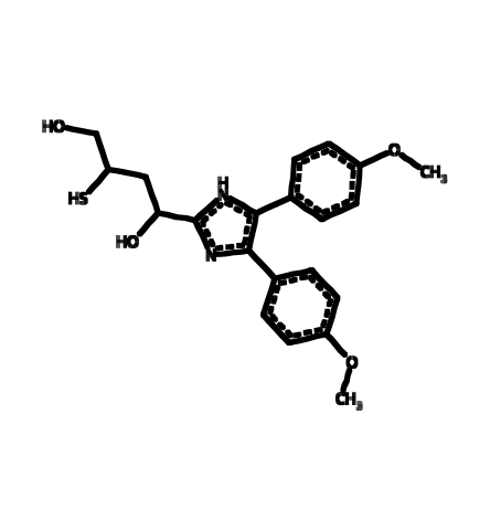 COc1ccc(-c2nc(C(O)CC(S)CO)[nH]c2-c2ccc(OC)cc2)cc1